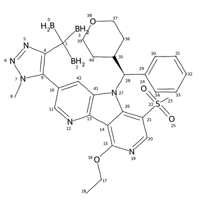 BC(B)(B)c1nnn(C)c1-c1cnc2c3c(OCC)ncc(S(C)(=O)=O)c3n([C@H](c3ccccc3)C3CCOCC3)c2c1